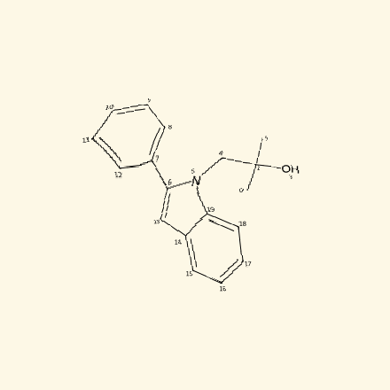 CC(C)(O)Cn1c(-c2ccccc2)cc2ccccc21